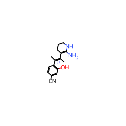 C/C(C1=C(N)NCCC1)=C(/C)c1ccc(C#N)cc1O